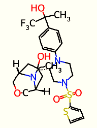 CC1(O)C[C@H]2COC[C@@H](C1)N2C[C@H]1CN(S(=O)(=O)c2cccs2)CCN1c1ccc(C(C)(O)C(F)(F)F)cc1